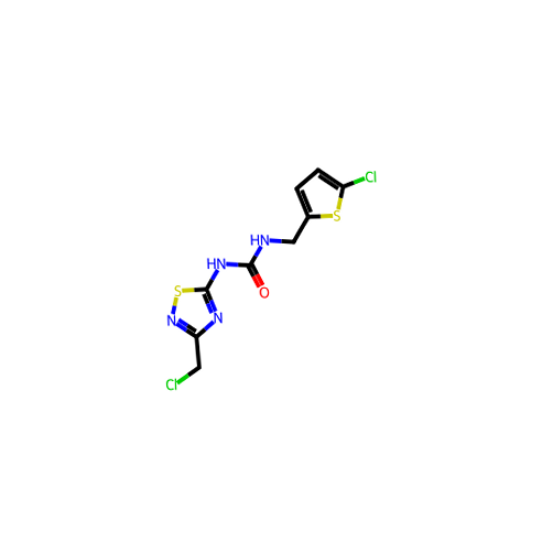 O=C(NCc1ccc(Cl)s1)Nc1nc(CCl)ns1